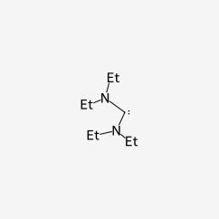 CCN([C]N(CC)CC)CC